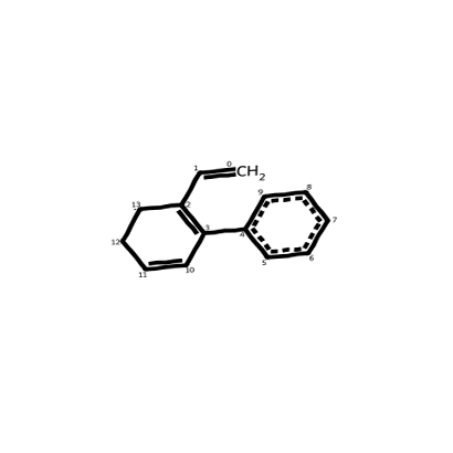 C=CC1=C(c2ccccc2)C=CC[CH]1